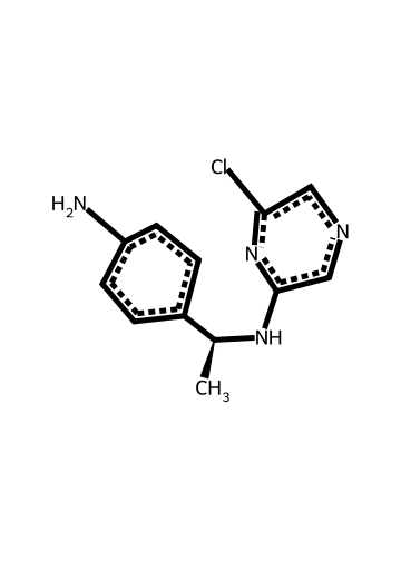 C[C@H](Nc1cncc(Cl)n1)c1ccc(N)cc1